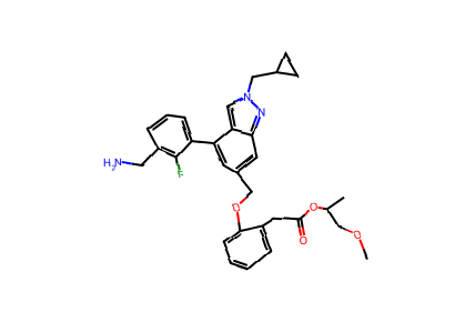 COCC(C)OC(=O)Cc1ccccc1OCc1cc(-c2cccc(CN)c2F)c2cn(CC3CC3)nc2c1